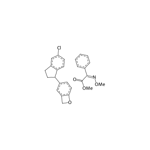 CON=C(C(=O)OC)c1ccccc1.Clc1ccc2c(c1)CCC2c1ccc2c(c1)CO2